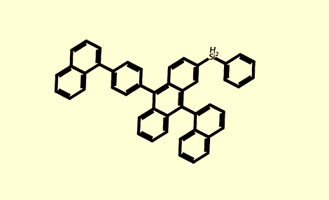 c1ccc([SiH2]c2ccc3c(-c4ccc(-c5cccc6ccccc56)cc4)c4ccccc4c(-c4cccc5ccccc45)c3c2)cc1